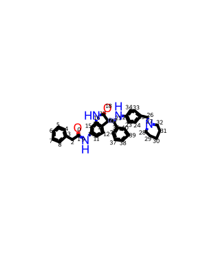 O=C(Cc1ccccc1)Nc1ccc2c(c1)NC(=O)/C2=C(\Nc1ccc(CN2CCCCC2)cc1)c1ccccc1